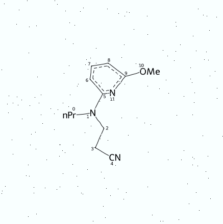 CCCN(CCC#N)c1cccc(OC)n1